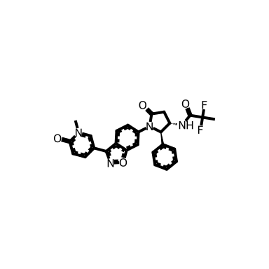 Cn1cc(-c2noc3cc(N4C(=O)C[C@H](NC(=O)C(C)(F)F)[C@H]4c4ccccc4)ccc23)ccc1=O